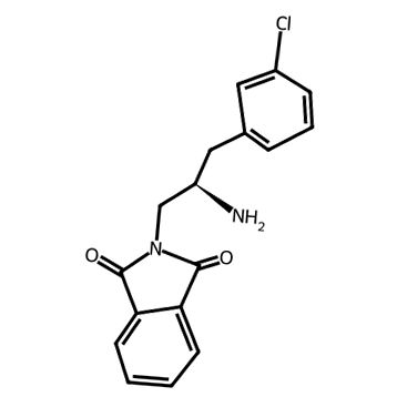 N[C@H](Cc1cccc(Cl)c1)CN1C(=O)c2ccccc2C1=O